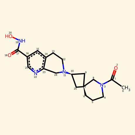 CC(=O)N1CCC[C@]2(C1)C[C@H](N1CCc3cc(C(=O)NO)cnc3C1)C2